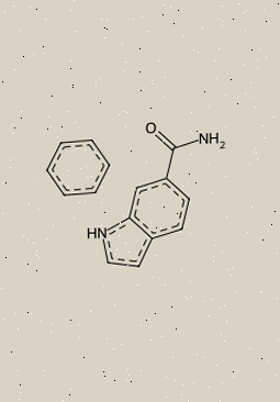 NC(=O)c1ccc2cc[nH]c2c1.c1ccccc1